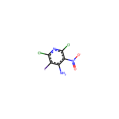 Nc1c(I)c(Cl)nc(Cl)c1[N+](=O)[O-]